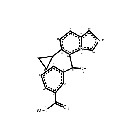 COC(=O)c1cccc(C(O)c2c(C3CC3)ccc3cncn23)c1